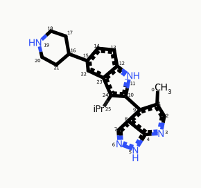 Cc1cnc2[nH]ncc2c1-c1[nH]c2ccc(C3CCNCC3)cc2c1C(C)C